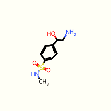 CNS(=O)(=O)c1ccc(C(O)CN)cc1